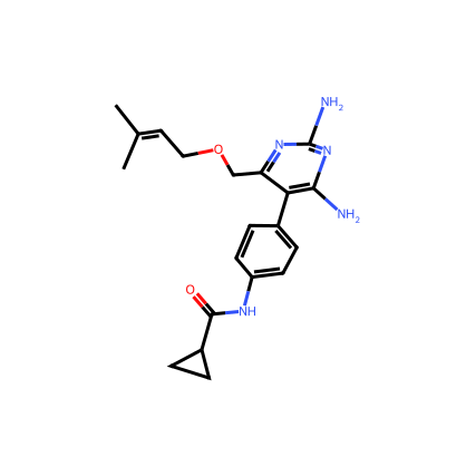 CC(C)=CCOCc1nc(N)nc(N)c1-c1ccc(NC(=O)C2CC2)cc1